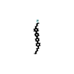 CC=CCCCC1CCC(C2CCC(c3ccc(-c4ccc(CCCCF)cc4)cc3)CC2)CC1